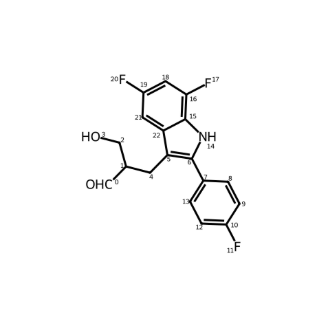 O=CC(CO)Cc1c(-c2ccc(F)cc2)[nH]c2c(F)cc(F)cc12